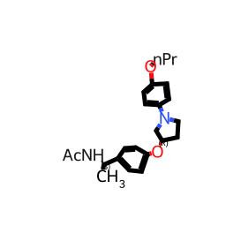 CCCOc1ccc(N2CC[C@@H](Oc3ccc([C@H](C)NC(C)=O)cc3)C2)cc1